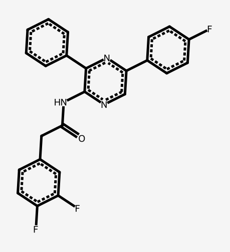 O=C(Cc1ccc(F)c(F)c1)Nc1ncc(-c2ccc(F)cc2)nc1-c1ccccc1